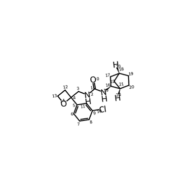 O=C(NCC1(c2cccc(Cl)c2)CCO1)N[C@H]1C[C@@H]2CC[C@H]1C2